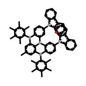 Cc1cc2c3c(c1)B(c1c(C)c(C)c(C)c(C)c1C)c1ccc(-n4c5ccccc5c5ccccc54)cc1N3c1cc(-n3c4ccccc4c4ccccc43)ccc1B2c1c(C)c(C)c(C)c(C)c1C